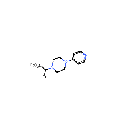 CCOC(=O)C(CC)N1CCN(c2ccncc2)CC1